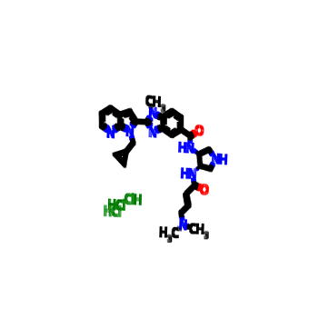 CN(C)C/C=C/C(=O)N[C@H]1CNC[C@@H]1NC(=O)c1ccc2c(c1)nc(-c1cc3cccnc3n1CC1CC1)n2C.Cl.Cl.Cl